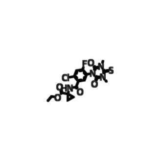 CCOC(=O)C1(NC(=O)c2cc(-n3c(=O)n(C)c(=S)n(C)c3=O)c(F)cc2Cl)CC1